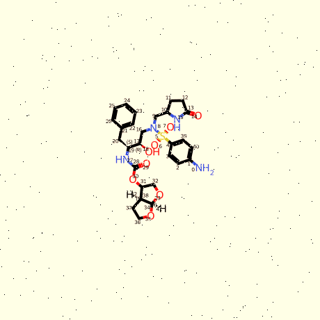 Nc1ccc(S(=O)(=O)N(CC2CCC(=O)N2)C[C@@H](O)[C@H](Cc2ccccc2)NC(=O)OC2CO[C@H]3OCC[C@@H]23)cc1